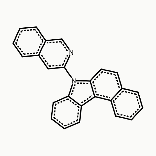 c1ccc2cc(-n3c4ccccc4c4c5ccccc5ccc43)ncc2c1